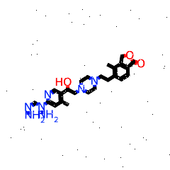 Cc1cc(N(N)/C=N\N)ncc1C(O)CN1CCN(CCc2ccc3c(c2C)COC3=O)CC1